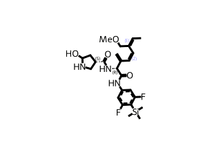 C=C(/C=C\C(=C/C)COC)[C@@H](NC(=O)[C@@H]1CNC(O)C1)C(=O)Nc1cc(F)c([Si](C)(C)C)c(F)c1